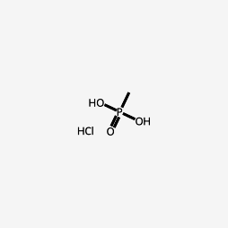 CP(=O)(O)O.Cl